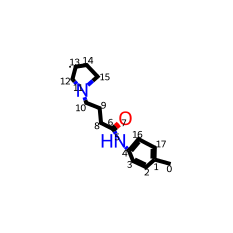 Cc1ccc(NC(=O)CCCN2C[CH]CC2)cc1